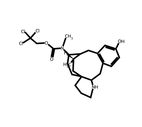 C[C@H]1CC23CCCNC2Cc2ccc(O)cc2CC1C(N(C)C(=O)OCC(Cl)(Cl)Cl)CC3